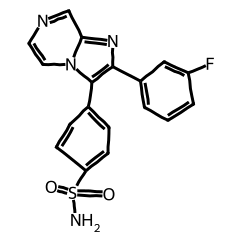 NS(=O)(=O)c1ccc(-c2c(-c3cccc(F)c3)nc3cnccn23)cc1